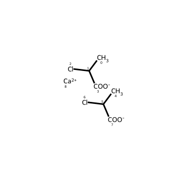 CC(Cl)C(=O)[O-].CC(Cl)C(=O)[O-].[Ca+2]